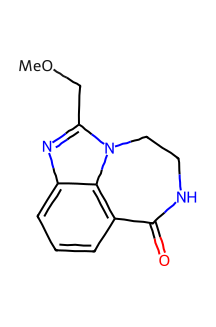 COCc1nc2cccc3c2n1CCNC3=O